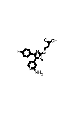 Cn1c(SCCC(=O)O)nc(-c2ccc(F)cc2)c1-c1ccnc(N)c1